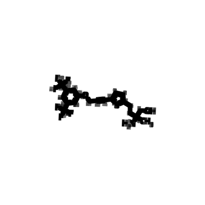 CC(N)(CO)CCc1ccc(C#CCOc2cc(C(F)(F)F)cc(C(F)(F)F)c2)s1